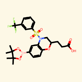 CC1(C)OB(c2ccc3c(c2)N(S(=O)(=O)c2cccc(C(F)(F)F)c2)CC(CCC(=O)O)O3)OC1(C)C